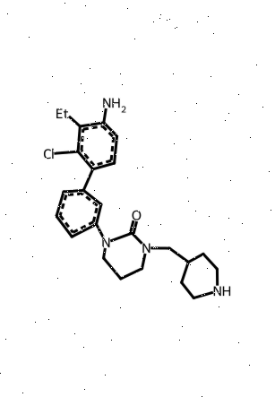 CCc1c(N)ccc(-c2cccc(N3CCCN(CC4CCNCC4)C3=O)c2)c1Cl